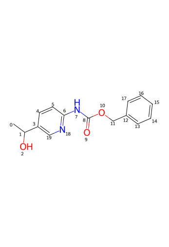 CC(O)c1ccc(NC(=O)OCc2ccccc2)nc1